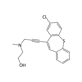 CN(CC#CC1=Cc2ccccc2Sc2ccc(Cl)cc21)CCO